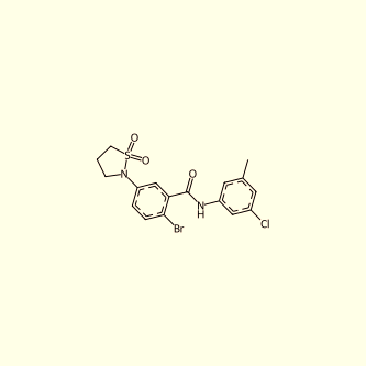 Cc1cc(Cl)cc(NC(=O)c2cc(N3CCCS3(=O)=O)ccc2Br)c1